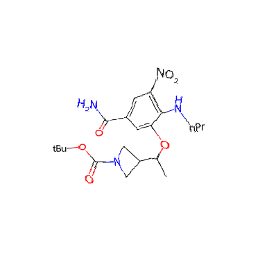 CCCNc1c(OC(C)C2CN(C(=O)OC(C)(C)C)C2)cc(C(N)=O)cc1[N+](=O)[O-]